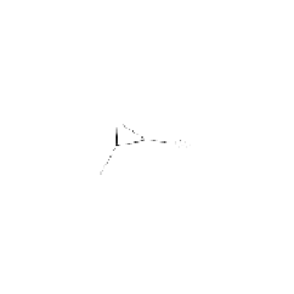 COC1OC1C